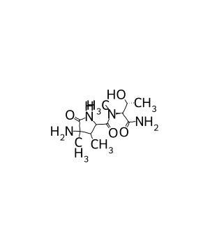 CC1C(C(=O)N(C)[C@H](C(N)=O)[C@@H](C)O)NC(=O)C1(C)N